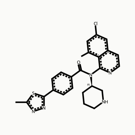 Cc1nnc(-c2ccc(C(=O)N(c3nccc4cc(Cl)cc(C)c34)[C@@H]3CCCNC3)cc2)s1